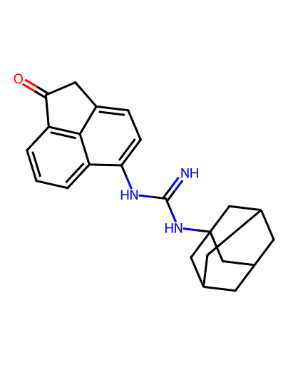 N=C(Nc1ccc2c3c(cccc13)C(=O)C2)NC12CC3CC(CC(C3)C1)C2